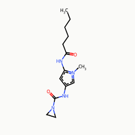 CCCCCC(=O)Nc1cc(NC(=O)N2CC2)cn1C